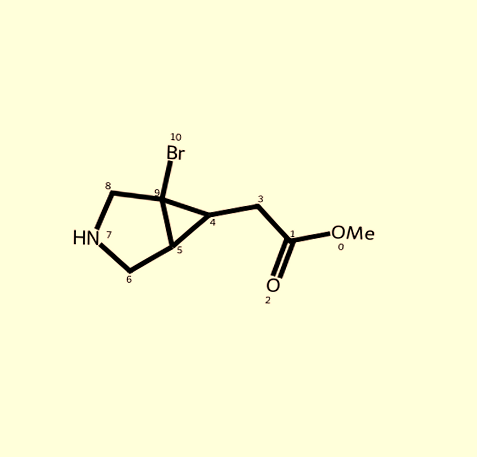 COC(=O)CC1C2CNCC21Br